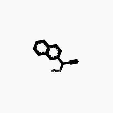 [C]#CC(CCCCC)c1ccc2ccccc2c1